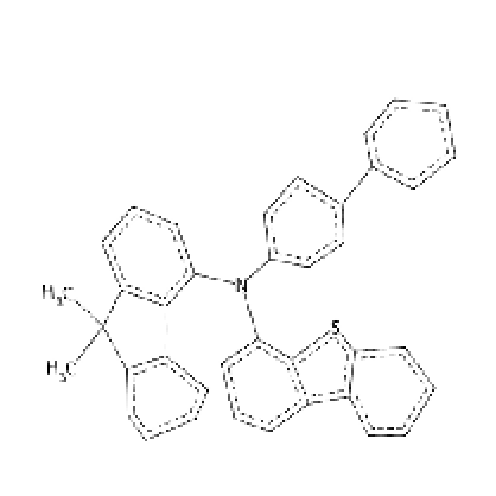 CC1(C)c2ccccc2-c2c(N(c3ccc(-c4ccccc4)cc3)c3cccc4c3sc3ccccc34)cccc21